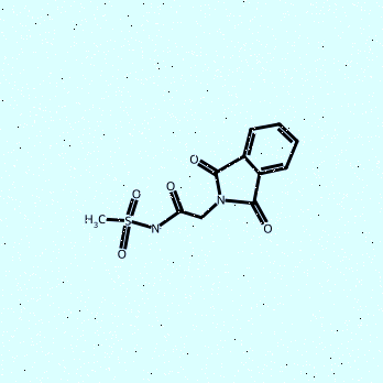 CS(=O)(=O)[N]C(=O)CN1C(=O)c2ccccc2C1=O